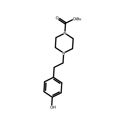 CC(C)COC(=O)N1CCN(CCc2ccc(O)cc2)CC1